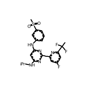 CC(C)Nc1cc(Nc2cccc(S(C)(=O)=O)c2)nc(-c2cc(F)cc(C(C)(F)F)n2)n1